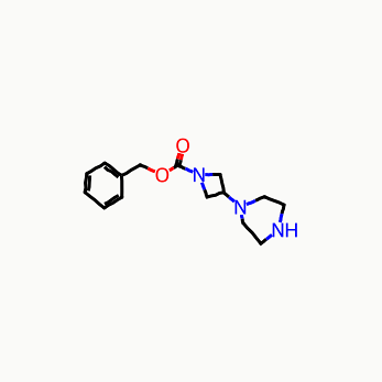 O=C(OCc1ccccc1)N1CC(N2CCNCC2)C1